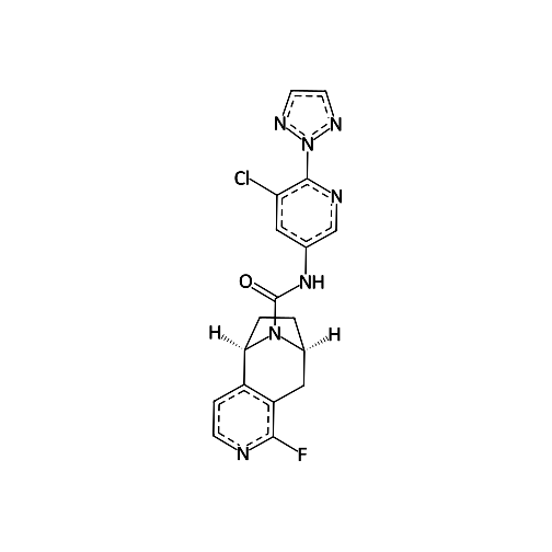 O=C(Nc1cnc(-n2nccn2)c(Cl)c1)N1[C@H]2CC[C@@H]1c1ccnc(F)c1C2